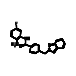 Nc1ccc(F)cc1NC(=O)c1ccc(Cn2cc3ccccc3n2)cc1